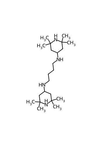 CC1(C)CC(NCCCCNC2CC(C)(C)NC(C)(C)C2)CC(C)(C)N1